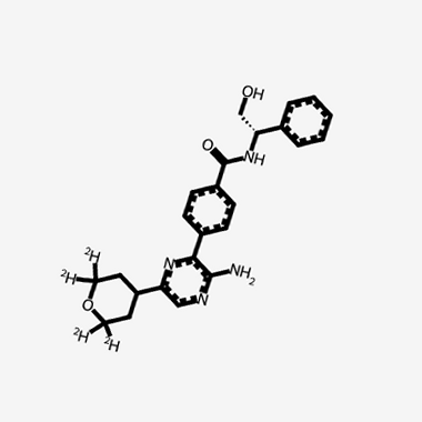 [2H]C1([2H])CC(c2cnc(N)c(-c3ccc(C(=O)N[C@H](CO)c4ccccc4)cc3)n2)CC([2H])([2H])O1